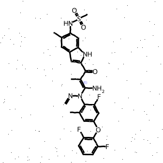 C=NN(/C(N)=C(\C)C(=O)c1cc2cc(C)c(NS(C)(=O)=O)cc2[nH]1)c1c(C)cc(Oc2c(F)cccc2F)cc1F